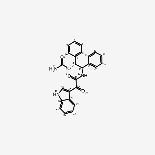 NC(=O)O[C@H](c1ccccc1)[C@H](NC(=O)C(=O)c1c[nH]c2ccccc12)c1ccccc1